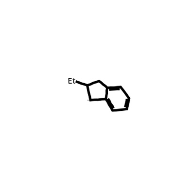 CCC1[CH]c2ccccc2C1